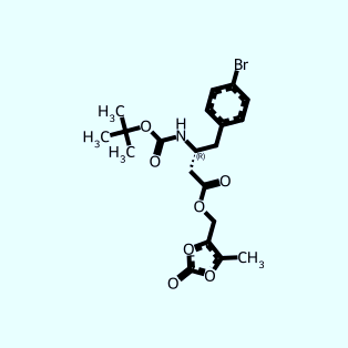 Cc1oc(=O)oc1COC(=O)C[C@@H](Cc1ccc(Br)cc1)NC(=O)OC(C)(C)C